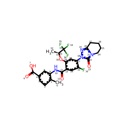 Cc1ccc(C(=O)O)cc1NC(=O)c1cc(F)c(-n2nc3n(c2=O)CCCC3)cc1O[C@@H](C)C(F)(F)F